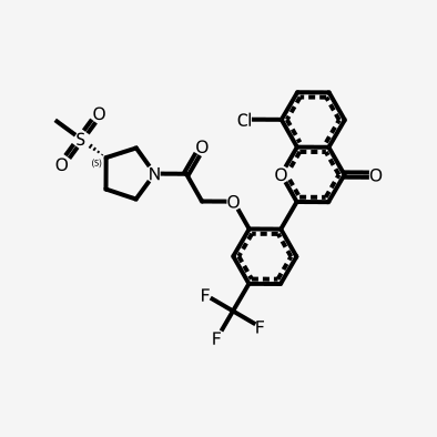 CS(=O)(=O)[C@H]1CCN(C(=O)COc2cc(C(F)(F)F)ccc2-c2cc(=O)c3cccc(Cl)c3o2)C1